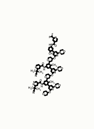 Cc1ccc(NC(=O)c2ccnc(C(F)F)c2)cc1-c1cc(OC2CCOC(c3cc(NC(=O)c4ccnc(C(C)(C)C#N)c4)cc(-c4cc(OC5CCOC(c6cc(NC(=O)c7cnnc(C(C)(C)C#N)c7)cc(-c7cc(OC8CCOCC8)nc(N8CCOCC8)c7)c6C)C5)nc(N5CCOCC5)c4)c3C)C2)nc(N2CCOCC2)c1